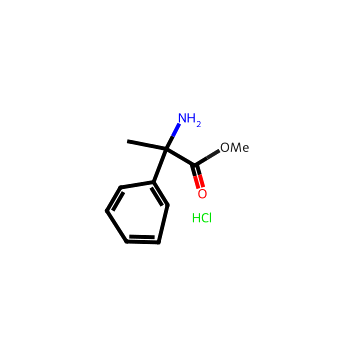 COC(=O)C(C)(N)c1ccccc1.Cl